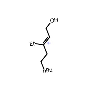 CCCCCC/C(=C/CO)CC